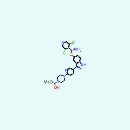 COC(O)N1CCN(c2ccc(-c3n[nH]c4ccc(O[C@H](N)c5c(Cl)cncc5Cl)cc34)cn2)CC1